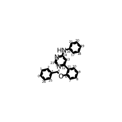 c1ccc(COc2ccccc2-c2cc(Nc3ccccc3)ncn2)cc1